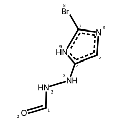 O=CNNc1cnc(Br)[nH]1